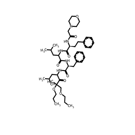 CCCOCC(C)(OCCC)C(=O)C(CC(C)C)NC(=O)[C@H](Cc1ccccc1)NC(=O)C(CC(C)C)NC(=O)[C@H](CCc1ccccc1)NC(=O)CN1CCOCC1